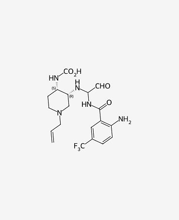 C=CCN1CC[C@H](NC(=O)O)[C@H](NC(C=O)NC(=O)c2cc(C(F)(F)F)ccc2N)C1